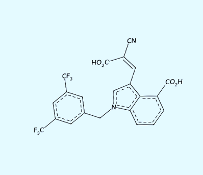 N#CC(=Cc1cn(Cc2cc(C(F)(F)F)cc(C(F)(F)F)c2)c2cccc(C(=O)O)c12)C(=O)O